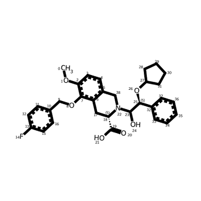 COc1ccc2c(c1OCc1ccc(F)cc1)C[C@@H](C(=O)O)N(C(O)[C@@H](OC1CCCC1)c1ccccc1)C2